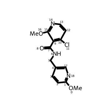 COc1ccc(CNC(=O)c2c(Cl)ccnc2OC)cn1